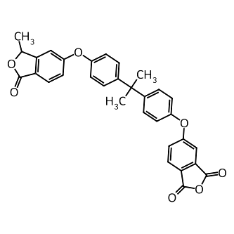 CC1OC(=O)c2ccc(Oc3ccc(C(C)(C)c4ccc(Oc5ccc6c(c5)C(=O)OC6=O)cc4)cc3)cc21